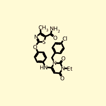 CCn1c(=O)cc(Nc2ccc(Oc3nc(C)c(C(N)=O)s3)cc2)n(Cc2ccc(Cl)cc2)c1=O